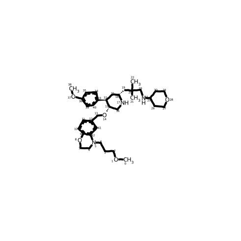 COCCCN1CCOc2ccc(CO[C@H]3CN[C@@H](CC(C)(C)CNC4CCOCC4)C[C@@H]3c3ccc(OC)cc3)cc21